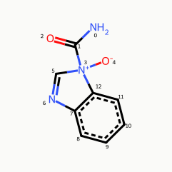 NC(=O)[N+]1([O-])C=Nc2ccccc21